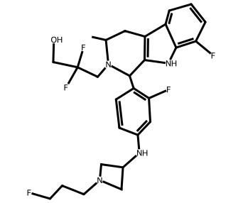 CC1Cc2c([nH]c3c(F)cccc23)C(c2ccc(NC3CN(CCCF)C3)cc2F)N1CC(F)(F)CO